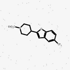 CCOC(=O)N1CCC(c2cc3cc(C(F)(F)F)ccc3o2)CC1